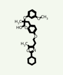 COc1cccc(OC(C)(Cc2ccc(OCCc3nc(C4CCCCC4)oc3C)cc2)C(=O)O)c1